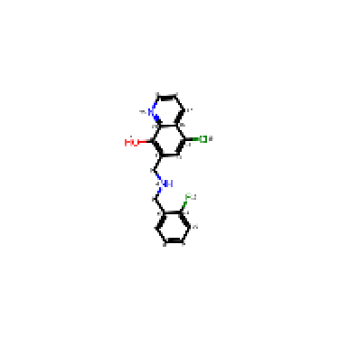 Oc1c(CNCc2ccccc2F)cc(Cl)c2cccnc12